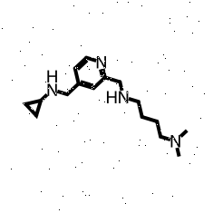 CN(C)CCCCNCc1cc(CNC2CC2)ccn1